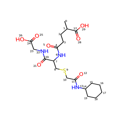 CC(CCC(=O)NC(CSCC(=O)NC1CCCCC1)C(=O)NCC(=O)O)C(=O)O